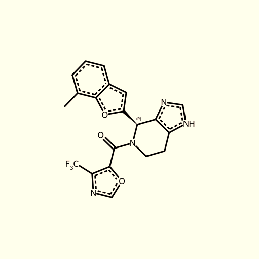 Cc1cccc2cc([C@H]3c4nc[nH]c4CCN3C(=O)c3ocnc3C(F)(F)F)oc12